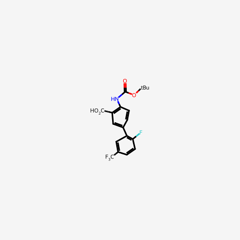 CC(C)(C)OC(=O)Nc1ccc(-c2cc(C(F)(F)F)ccc2F)cc1C(=O)O